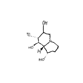 OC1CN2CC[C@H](O)[C@@H]2[C@@H](O)[C@@H]1O